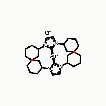 [Cl-].c1cn(C2CCCCC2)[c](=[Au+]=[c]2n(C3CCCCC3)ccn2C2CCCCC2)n1C1CCCCC1